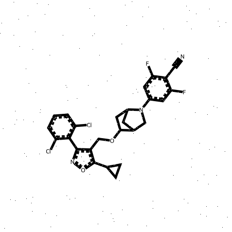 N#Cc1c(F)cc(N2CC3CC2CC3OCc2c(-c3c(Cl)cccc3Cl)noc2C2CC2)cc1F